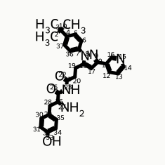 CC(C)(C)c1ccc(-n2nc(-c3cccnc3)cc2CCC(=O)NC(=O)C(N)Cc2ccc(O)cc2)cc1